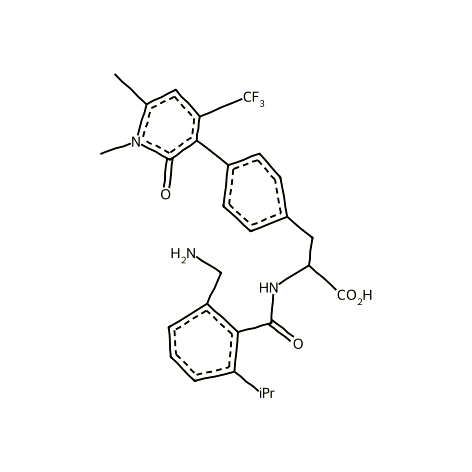 Cc1cc(C(F)(F)F)c(-c2ccc(CC(NC(=O)c3c(CN)cccc3C(C)C)C(=O)O)cc2)c(=O)n1C